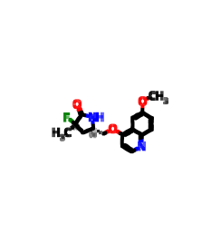 COc1ccc2nccc(OC[C@@H]3C[C@](C)(F)C(=O)N3)c2c1